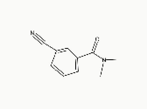 CN(C)C(=O)c1c[c]cc(C#N)c1